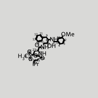 COc1cccc(CNC(Cc2ccccc2)[C@H](O)CNC(=O)[C@H](CCS(C)(=O)=O)NS(=O)(=O)CCC(C)C)c1